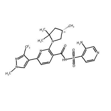 C[C@@H]1CN(c2nc(-c3cn(C)nc3C(F)(F)F)ccc2C(=O)NS(=O)(=O)c2ccncc2N)C(C)(C)C1